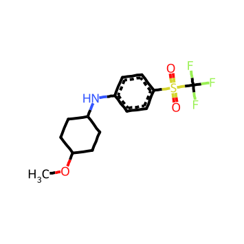 COC1CCC(Nc2ccc(S(=O)(=O)C(F)(F)F)cc2)CC1